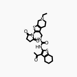 CCN1CCc2c(sc(N3C(=O)CCC3=O)c2CNC(=O)Nc2sc3c(c2C(C)=O)CCCC3)C1